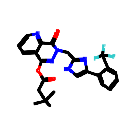 CC(C)(C)CC(=O)Oc1nn(Cc2nc(-c3ccccc3C(F)(F)F)c[nH]2)c(=O)c2ncccc12